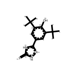 CC(C)(C)c1cc(-c2n[nH]c(=S)[nH]2)cc(C(C)(C)C)c1O